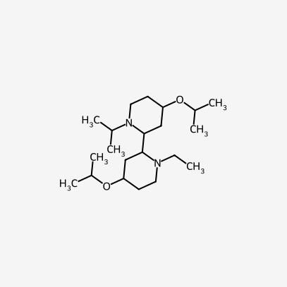 CCN1CCC(OC(C)C)CC1C1CC(OC(C)C)CCN1C(C)C